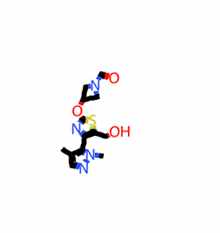 Cc1cnn(C)c1-c1nc(OC2CN(C=O)C2)sc1CO